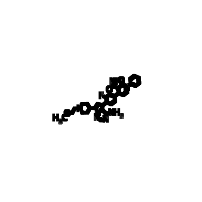 COCCN1CCC(c2cc(-c3ccc(-c4ccn(-c5ccccc5)c(=O)c4C(N)=O)cc3F)c3c(N)ncnn23)CC1